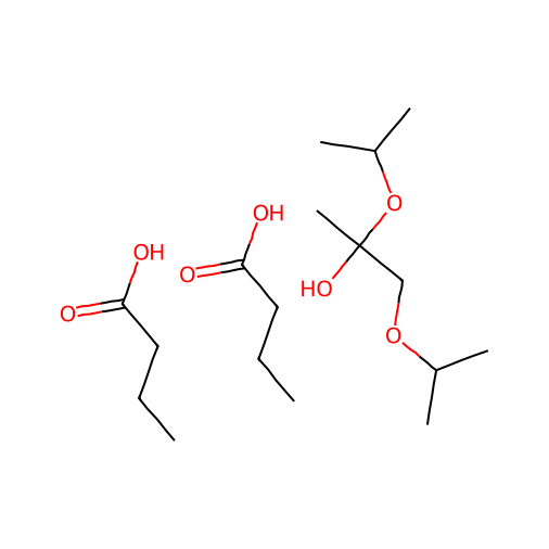 CC(C)OCC(C)(O)OC(C)C.CCCC(=O)O.CCCC(=O)O